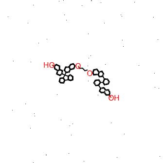 Oc1ccc2cc(-c3ccccc3-c3ccccc3-c3ccc4ccc(OCCCCOc5ccc6ccc(C7(c8ccc9cc(O)ccc9c8)c8ccccc8-c8ccccc87)cc6c5)cc4c3)ccc2c1